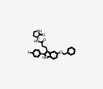 O=C(CCc1c(-c2ccc(F)cc2)[nH]c2ccc(OCc3ccccc3)cc12)N[C@H]1CCNC1=O